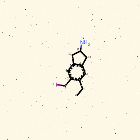 CCc1cc2c(cc1CI)CC(N)C2